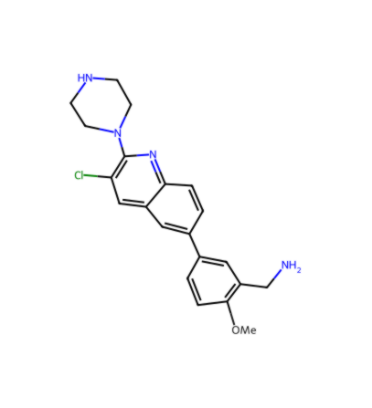 COc1ccc(-c2ccc3nc(N4CCNCC4)c(Cl)cc3c2)cc1CN